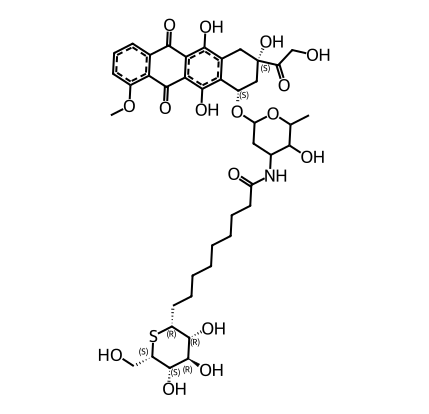 COc1cccc2c1C(=O)c1c(O)c3c(c(O)c1C2=O)C[C@@](O)(C(=O)CO)C[C@@H]3OC1CC(NC(=O)CCCCCCCC[C@H]2S[C@@H](CO)[C@@H](O)[C@H](O)[C@H]2O)C(O)C(C)O1